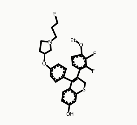 CCOc1ccc(C2=C(c3ccc(O[C@H]4CCN(CCCF)C4)cc3)c3ccc(O)cc3SC2)c(F)c1F